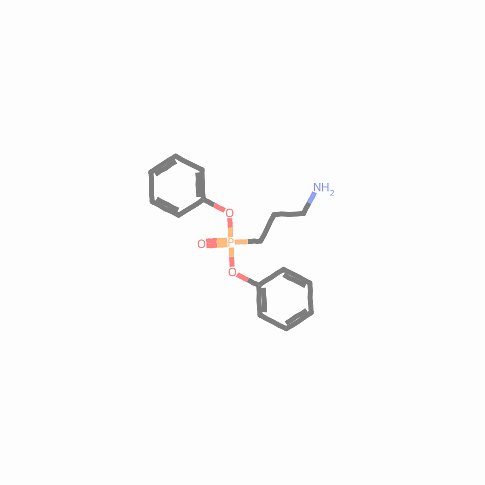 NCCCP(=O)(Oc1ccccc1)Oc1ccccc1